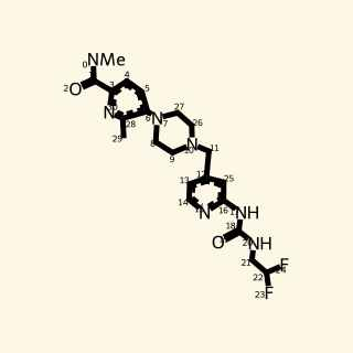 CNC(=O)c1ccc(N2CCN(Cc3ccnc(NC(=O)NCC(F)F)c3)CC2)c(C)n1